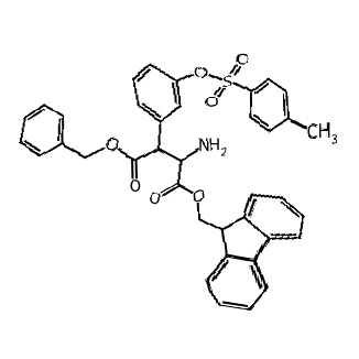 Cc1ccc(S(=O)(=O)Oc2cccc(C(C(=O)OCc3ccccc3)C(N)C(=O)OCC3c4ccccc4-c4ccccc43)c2)cc1